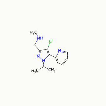 CNCc1nn(C(C)C)c(-c2ccccn2)c1Cl